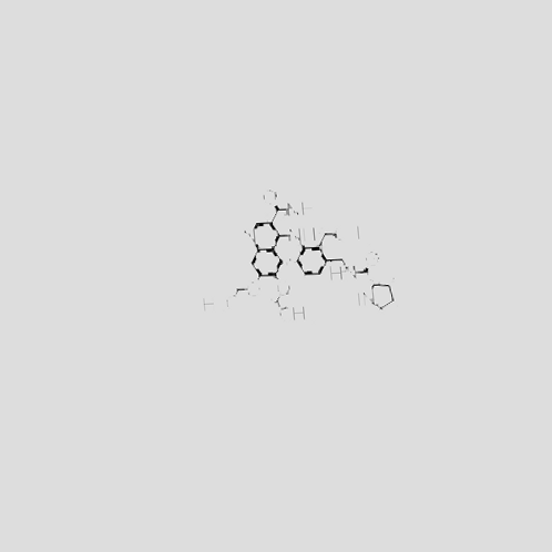 CCOc1cc2ncc(C(N)=O)c(Nc3cccc(CNC(=O)[C@@H]4CCCN4)c3CC)c2cc1OCC